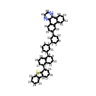 c1cc(-c2cccc(-c3cccc4c(-c5cccc6c5sc5ccccc56)cccc34)c2)cc(-c2ccc3c(c2)c2ccccc2c2nccnc32)c1